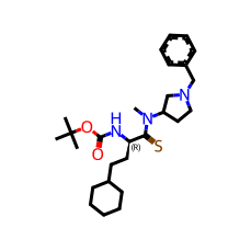 CN(C(=S)[C@@H](CCC1CCCCC1)NC(=O)OC(C)(C)C)C1CCN(Cc2ccccc2)C1